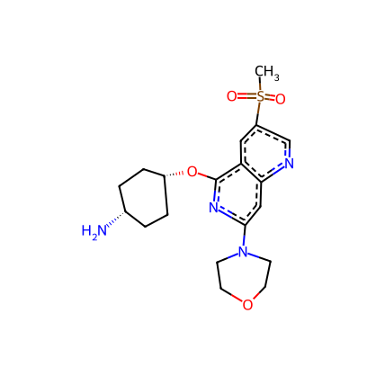 CS(=O)(=O)c1cnc2cc(N3CCOCC3)nc(O[C@H]3CC[C@@H](N)CC3)c2c1